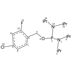 CC(C)N(C(C)C)P(OCc1ccc(Cl)cc1F)N(C(C)C)C(C)C